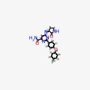 NC(=O)c1cc(/N=C2/CCNC2=O)nc(-c2ccc(Oc3ccc(F)cc3)cc2)n1